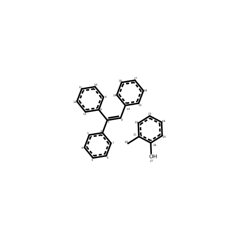 C(=C(c1ccccc1)c1ccccc1)c1ccccc1.Cc1ccccc1O